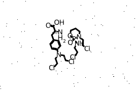 N[C@@H](Cc1ccc(N(CCCl)CCCl)cc1)C(=O)O.O=P1(NCCCl)OCCCN1CCCl